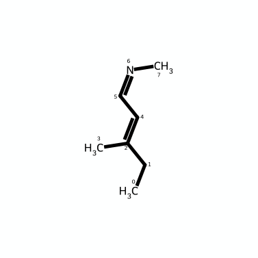 CC/C(C)=C/C=N\C